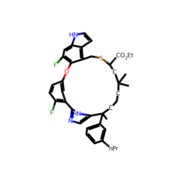 CCCc1cccc(C2(C)CCCC(C)(C)CC(C(=O)OCC)SCc3c(c(F)cc4[nH]ccc34)Oc3ccc(F)c(c3)-c3ncc2[nH]3)c1